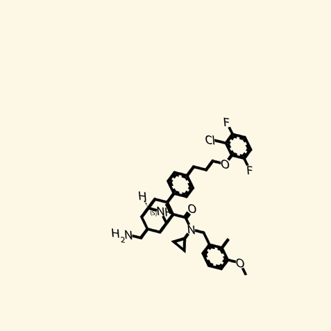 COc1cccc(CN(C(=O)C2=C(c3ccc(CCCOc4c(F)ccc(F)c4Cl)cc3)C[C@@H]3CC(CN)CC2N3)C2CC2)c1C